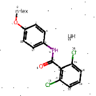 CCCCCCOc1ccc(PC(=O)c2c(Cl)cccc2Cl)cc1.[LiH]